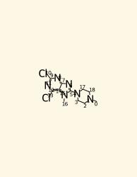 CN1CCN(c2nc3nc(Cl)nc(Cl)c3n2C)CC1